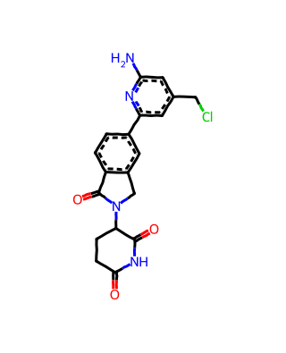 Nc1cc(CCl)cc(-c2ccc3c(c2)CN(C2CCC(=O)NC2=O)C3=O)n1